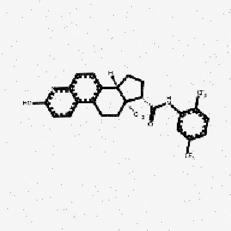 C[C@]12CCc3c(ccc4nc(O)ccc34)[C@@H]1CC[C@@H]2C(=O)Nc1cc(C(F)(F)F)ccc1C(F)(F)F